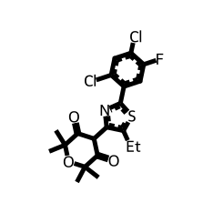 CCc1sc(-c2cc(F)c(Cl)cc2Cl)nc1C1C(=O)C(C)(C)OC(C)(C)C1=O